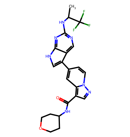 CC(Nc1ncc2c(-c3ccn4ncc(C(=O)NC5CCOCC5)c4c3)c[nH]c2n1)C(F)(F)F